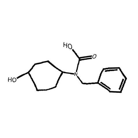 O=C(O)N(Cc1ccccc1)C1CCC(O)CC1